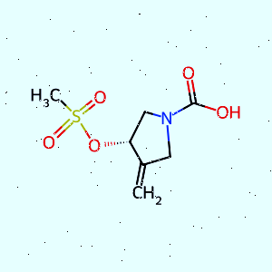 C=C1CN(C(=O)O)C[C@H]1OS(C)(=O)=O